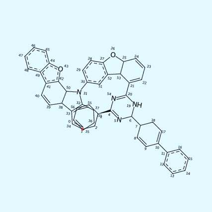 C1=CC[C@H](C2=NC(C3C=CC(c4ccccc4)=CC3)NC(C3=CC=CC4Oc5ccc(N6C7=C(C=CCC7)C7C=Cc8c(oc9ccccc89)C76)cc5C34)=N2)C=C1